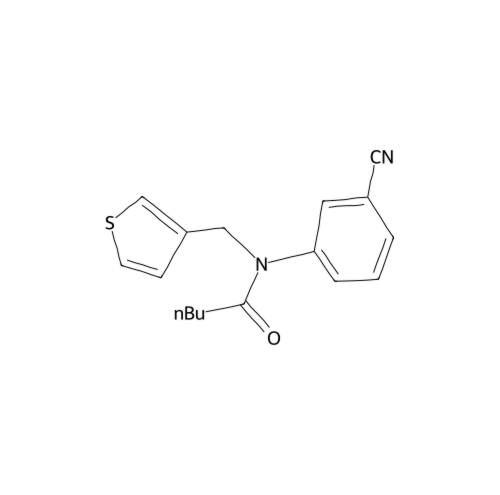 CCCCC(=O)N(Cc1ccsc1)c1cccc(C#N)c1